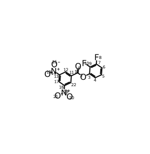 O=C(Oc1cccc(F)c1F)c1cc([N+](=O)[O-])cc([N+](=O)[O-])c1